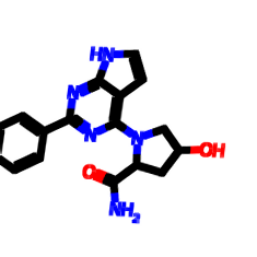 NC(=O)C1CC(O)CN1c1nc(-c2ccccc2)nc2[nH]ccc12